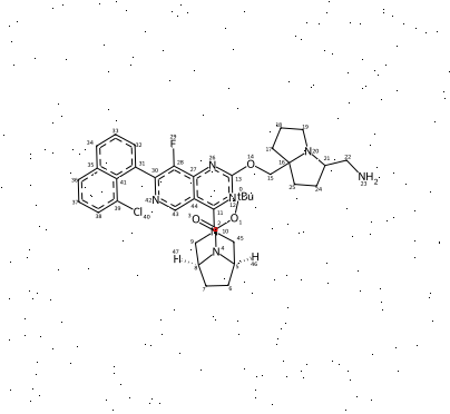 CC(C)(C)OC(=O)N1[C@@H]2CC[C@H]1CN(c1nc(OCC34CCCN3C(CN)CC4)nc3c(F)c(-c4cccc5cccc(Cl)c45)ncc13)C2